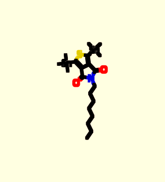 CCCCCCCCN1C(=O)c2[c]([Sn]([CH3])([CH3])[CH3])s[c]([Sn]([CH3])([CH3])[CH3])c2C1=O